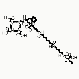 CCC[C@H](NC(=O)NCCCCCNC(=O)CCCCCCC(=O)NCCCCC(NC(=O)C(Cc1ccccc1)NC(=O)CN1CCN(CC(=O)O)CCN(CC(=O)O)CCN(CC(=O)O)CC1)C(=O)O)C(=O)O